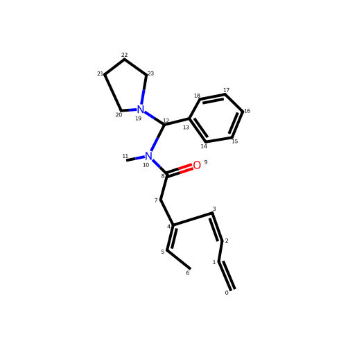 C=C/C=C\C(=C/C)CC(=O)N(C)C(c1ccccc1)N1CCCC1